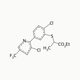 CCOC(=O)C(C)Sc1cc(-c2ncc(C(F)(F)F)cc2Cl)ccc1Cl